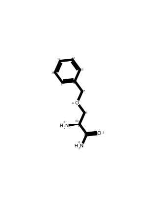 NC(=O)[C@@H](N)COCc1ccccc1